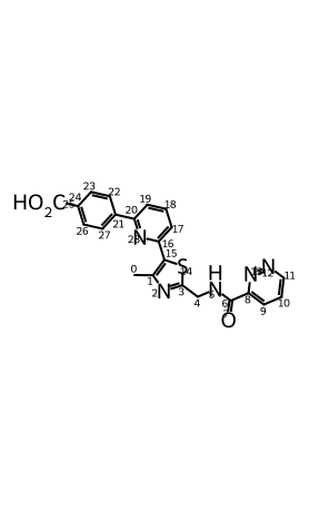 Cc1nc(CNC(=O)c2cccnn2)sc1-c1cccc(-c2ccc(C(=O)O)cc2)n1